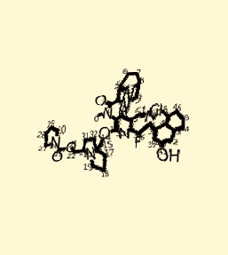 CN1C(=O)C2C3CCC(CN2c2c1c(OCC14CCCN1C(COC(=O)N1CCCC1)CC4)nc1c(F)c(-c4cc(O)cc5cccc(Cl)c45)ncc21)N3